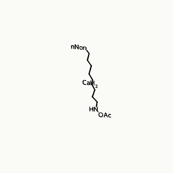 CCCCCCCCCCCCCCCCCCNOC(C)=O.[CaH2]